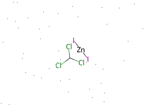 ClC(Cl)Cl.[I][Zn][I]